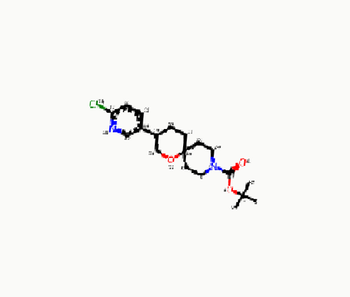 CC(C)(C)OC(=O)N1CCC2(CCC(c3ccc(Cl)nc3)CO2)CC1